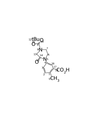 Cc1ccc(N2CCN(C(=O)OC(C)(C)C)CC2=O)cc1C(=O)O